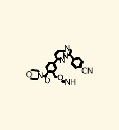 N#Cc1ccc(-c2cnc3ccc(-c4ccc(C(=O)N5CCOCC5)c(COC=N)c4)nn23)cc1